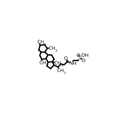 CC1CC(C)C2C(C1)CC(C)C1C2CCC2(C)C(C(C)CCC(=O)NCCS(=O)(=O)O)CCC12